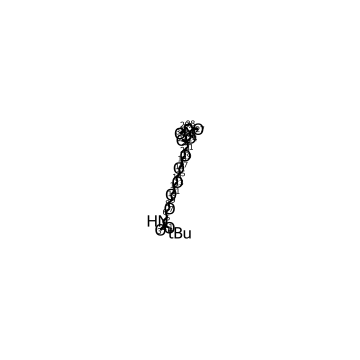 CC(C)(C)OC(=O)NCCOCCOCCOCCOCCOCCC(=O)ON1C(=O)CCC1=O